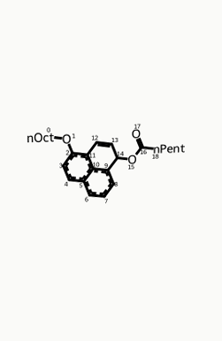 CCCCCCCCOc1ccc2cccc3c2c1C=CC3OC(=O)CCCCC